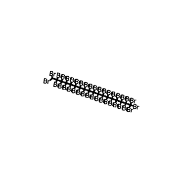 BrC(Br)C(Br)(Br)C(Br)(Br)C(Br)(Br)C(Br)(Br)C(Br)(Br)C(Br)(Br)C(Br)(Br)C(Br)(Br)C(Br)(Br)C(Br)(Br)C(Br)(Br)C(Br)(Br)C(Br)(Br)C(Br)(Br)C(Br)(Br)C(Br)(Br)C(Br)(Br)Br